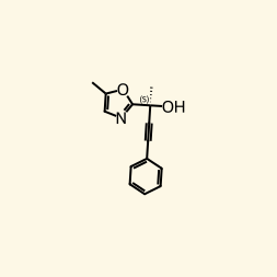 Cc1cnc([C@@](C)(O)C#Cc2ccccc2)o1